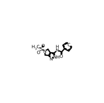 CS(=O)(=O)N1Cc2n[nH]c(NC(=O)c3ccccc3)c2C1